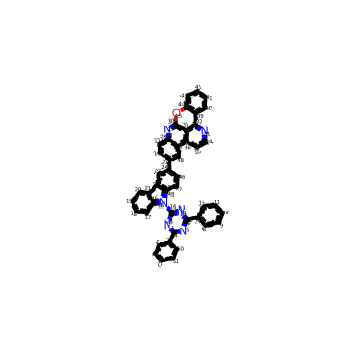 c1ccc(-c2nc(-c3ccccc3)nc(-n3c4ccccc4c4cc(-c5ccc6nc7c8c(nccc8c6c5)-c5ccccc5O7)ccc43)n2)cc1